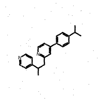 CC(C)c1ccc(-c2ccnc(CC(C)c3ccncc3)c2)cc1